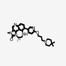 C[C@H]1CNc2c(-c3ccc(OCCCN4CCC(C)(C)CC4)nc3)ccc3ncc4c(c23)n1c(=O)n4C